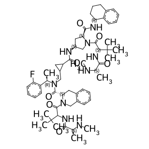 CN[C@@H](C)C(=O)NC(C(=O)N1Cc2ccccc2C[C@H]1C(=O)N(CC1CC1C(=O)N[C@H]1C[C@@H](C(=O)N[C@@H]2CCCc3ccccc32)N(C(=O)[C@@H](NC(=O)[C@H](C)NC)C(C)(C)C)C1)[C@H](C)c1ccccc1F)C(C)(C)C